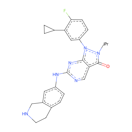 CC(C)n1c(=O)c2cnc(Nc3ccc4c(c3)CNCC4)nc2n1-c1ccc(F)c(C2CC2)c1